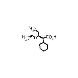 C=COC(C=C)=C(C(=O)O)C1CCCCC1